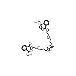 C[Si](C)(CCCOCCOC(=O)c1ccccc1C(=O)O)O[Si](C)(C)CCCOCCOC(=O)c1ccccc1C(=O)O